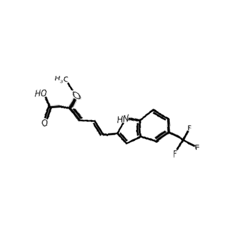 COC(=CC=Cc1cc2cc(C(F)(F)F)ccc2[nH]1)C(=O)O